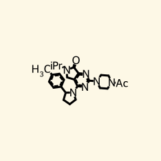 CC(=O)N1CCN(c2nc3c(c(N4CCCC4c4ccc(C)cc4)n2)CN(C(C)C)C3=O)CC1